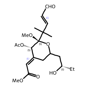 CC[C@H](O)CC1C/C(=C\C(=O)OC)[C@H](OC(C)=O)[C@](OC)(C(C)(C)/C=C/C=O)O1